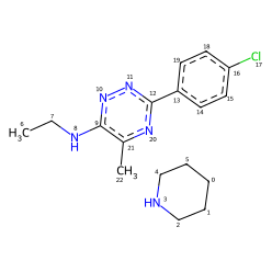 C1CCNCC1.CCNc1nnc(-c2ccc(Cl)cc2)nc1C